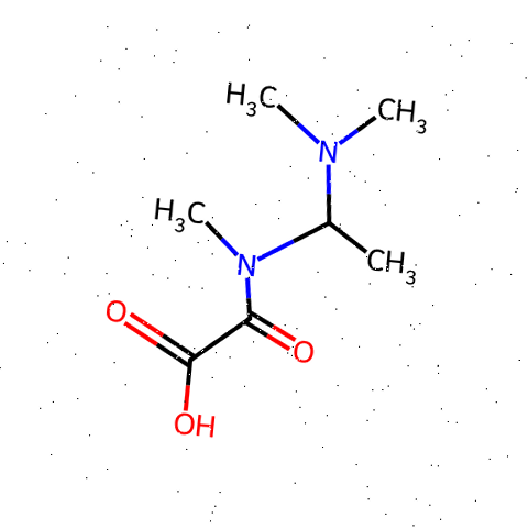 CC(N(C)C)N(C)C(=O)C(=O)O